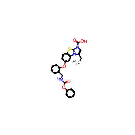 CCC1=CN(C(=O)O)C2Sc3ccc(Oc4ccccc4CNC(=O)Oc4ccccc4)cc3N12